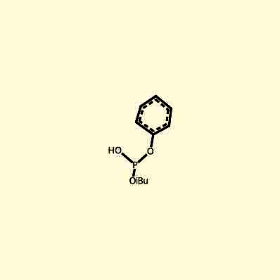 CC(C)COP(O)Oc1ccccc1